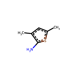 Cc1cc(C)c(N)s1